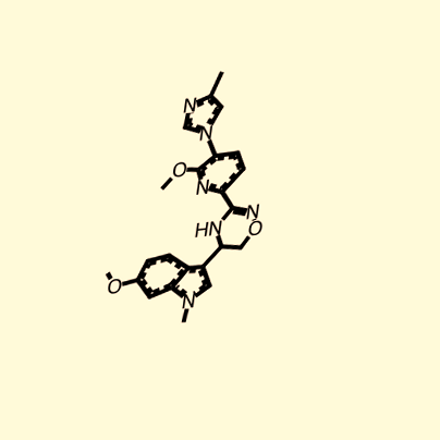 COc1ccc2c(C3CON=C(c4ccc(-n5cnc(C)c5)c(OC)n4)N3)cn(C)c2c1